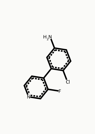 Nc1ccc(Cl)c(-c2ccncc2F)c1